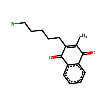 CC1=C(CCCCCBr)C(=O)c2ccccc2C1=O